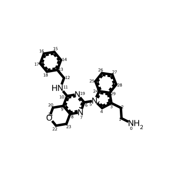 NCCc1cn(-c2nc3c(c(NCc4ccccc4)n2)COCC3)c2ccccc12